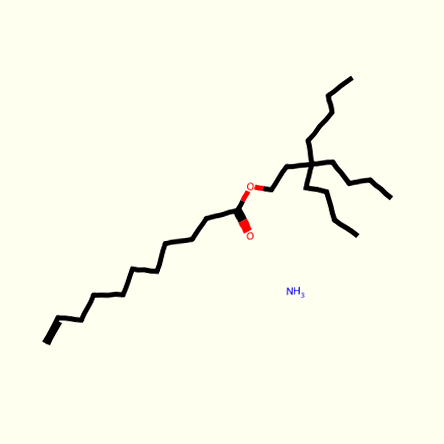 C=CCCCCCCCCC(=O)OCCC(CCCC)(CCCC)CCCC.N